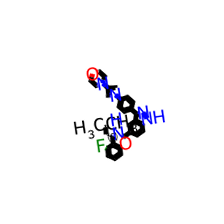 CC(C)C[C@H](NC(=O)c1ccc2[nH]nc(-c3ccc(N4CC(N5CCOCC5)C4)cc3)c2c1)c1ccccc1F